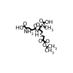 CC(C)OC(=O)C(=O)CSCC(NC(=O)CCC(N)C(=O)O)C(=O)N(C)C(=O)O